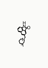 C[C@H]1CCCN(Cc2cc3c4c(cccc4c2)NC3=O)C1